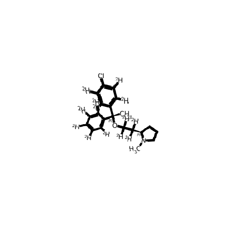 [2H]c1c([2H])c([2H])c([C@@](C)(OC([2H])([2H])C([2H])([2H])[C@H]2CCCN2C)c2c([2H])c([2H])c(Cl)c([2H])c2[2H])c([2H])c1[2H]